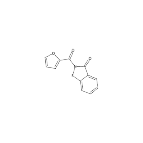 O=C(c1ccco1)n1sc2ccccc2c1=O